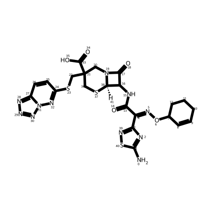 Nc1nc(C(=NOC2C=CCCC2)C(=O)NC2C(=O)N3CC(CSc4ccc5nnnn5n4)(C(=O)O)CS[C@H]23)ns1